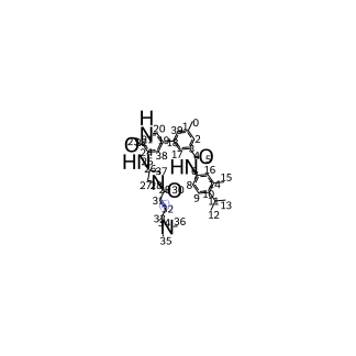 Cc1cc(C(=O)Nc2ccc(C(C)C)c(C)c2)cc(-c2c[nH]c(=O)c(NC3CN(C(=O)/C=C/CN(C)C)C3)c2)c1